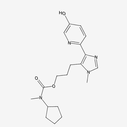 CN(C(=O)OCCCc1c(-c2ccc(O)cn2)ncn1C)C1CCCC1